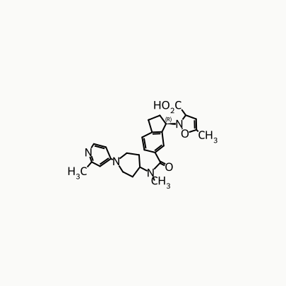 CC1=CC(C(=O)O)N([C@@H]2CCc3ccc(C(=O)N(C)C4CCN(c5ccnc(C)c5)CC4)cc32)O1